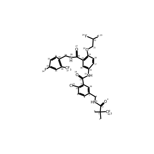 CC(C)(C(=O)NCc1ccc(Cl)c(C(=O)Nc2ccc(OCC(F)F)c(C(=O)NCc3ccc(F)cc3C(F)(F)F)c2)c1)C(F)(F)F